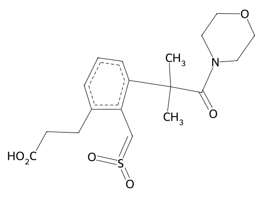 CC(C)(C(=O)N1CCOCC1)c1cccc(CCC(=O)O)c1C=S(=O)=O